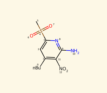 CCCCc1cc(S(C)(=O)=O)nc(N)c1[N+](=O)[O-]